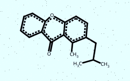 Cc1c(CC(C)C)ccc2oc3ccccc3c(=O)c12